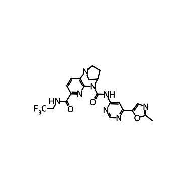 Cc1ncc(-c2cc(NC(=O)N3c4nc(C(=O)NCC(F)(F)F)ccc4N4CCC3C4)ncn2)o1